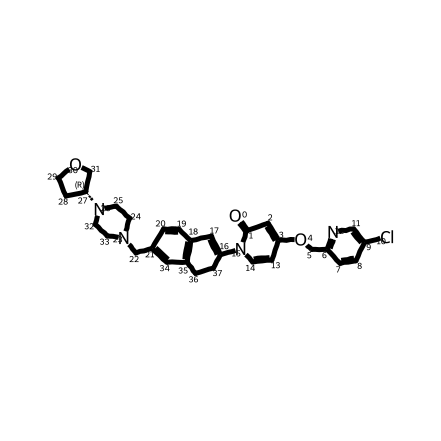 O=c1cc(OCc2ccc(Cl)cn2)ccn1C1=Cc2ccc(CN3CCN([C@@H]4CCOC4)CC3)cc2CC1